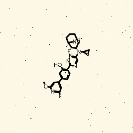 COc1cc(-c2ccc(-c3ncc(N(C4CC4)[C@H]4C[C@]5(C)CCC[C@@](C)(N5)[C@H]4F)nn3)c(O)c2)cc(F)n1